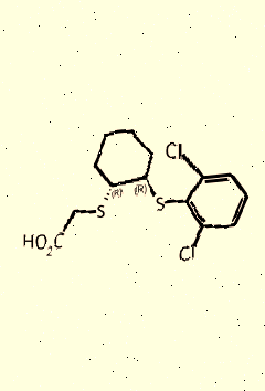 O=C(O)CS[C@@H]1CCCC[C@H]1Sc1c(Cl)cccc1Cl